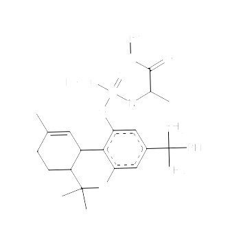 BC(B)(CCCC)c1cc2c(c(OP(=O)(NC(C)C(=O)OC(C)C)C(=O)OCC)c1)C1C=C(C)CCC1C(C)(C)O2